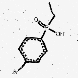 CCP(=O)(O)c1ccc(Br)cc1